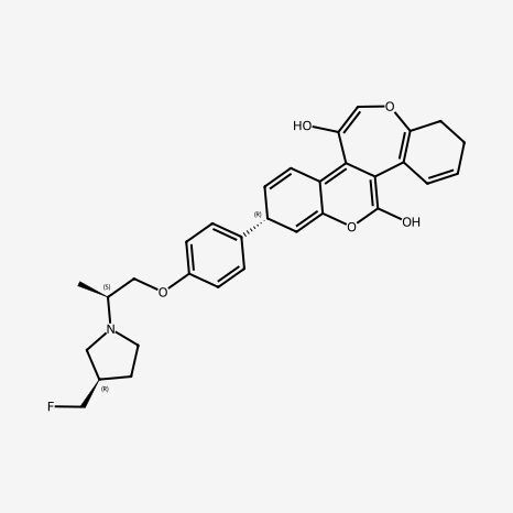 C[C@@H](COc1ccc([C@@H]2C=CC3=C4C(O)=COC5=C(C=CCC5)C4=C(O)OC3=C2)cc1)N1CC[C@@H](CF)C1